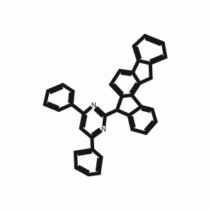 c1ccc(-c2cc(-c3ccccc3)nc(C3c4ccccc4-c4c3ccc3c4Cc4ccccc4-3)n2)cc1